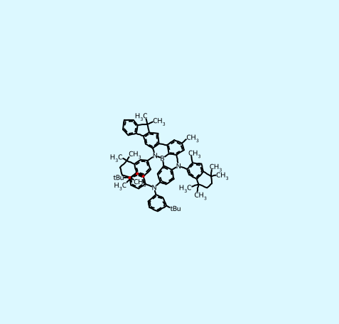 Cc1cc2c3c(c1)N(c1cc4c(cc1C)C(C)(C)CCC4(C)C)c1ccc(N(c4ccc(C(C)(C)C)cc4)c4cccc(C(C)(C)C)c4)cc1B3N(c1ccc3c(c1)C(C)(C)CCC3(C)C)c1cc3c(cc1-2)C(C)(C)c1ccccc1-3